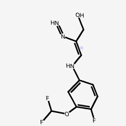 N=N/C(=C\Nc1ccc(F)c(OC(F)F)c1)CO